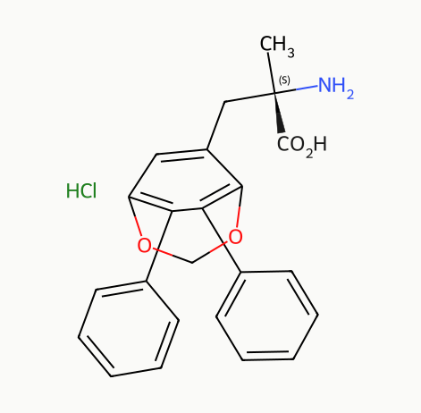 C[C@](N)(Cc1cc2c(-c3ccccc3)c(-c3ccccc3)c1OCO2)C(=O)O.Cl